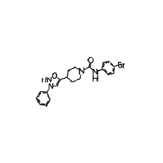 O=C(Nc1ccc(Br)cc1)N1CCC(C2=CN(c3ccccc3)NO2)CC1